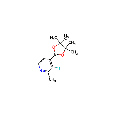 Cc1nccc(B2OC(C)(C)C(C)(C)O2)c1F